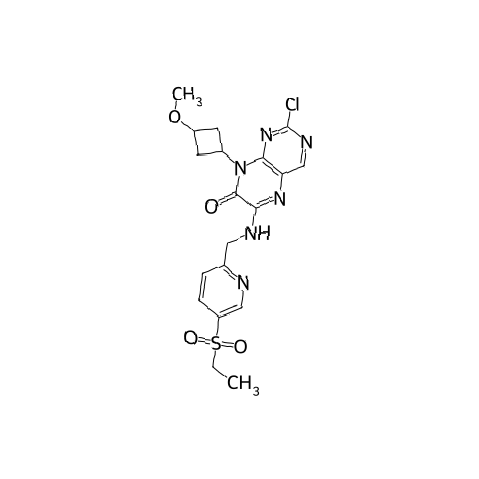 CCS(=O)(=O)c1ccc(CNc2nc3cnc(Cl)nc3n(C3CC(OC)C3)c2=O)nc1